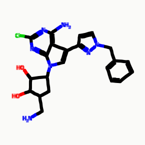 NCC1CC(n2cc(-c3ccn(Cc4ccccc4)n3)c3c(N)nc(Cl)nc32)C(O)C1O